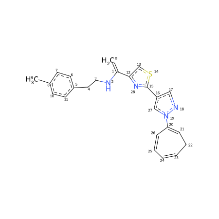 C=C(NCCc1ccc(C)cc1)c1csc(-c2cnn(C3=CCC=CC=C3)c2)n1